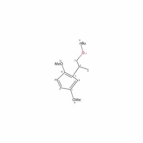 CCCCOCC(C)c1cc(OC)ccc1OC